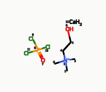 C[N+](C)(C)CCO.O=P(Cl)(Cl)Cl.[CaH2]